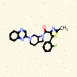 Cc1nc(C(=O)N2CC3CCN(c4cnc5ccccc5n4)CC32)c(-c2ccccc2F)s1